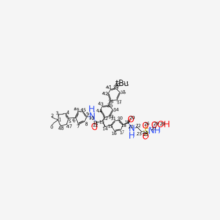 CC1(C)CC=C(c2ccc(NC(=O)[C@H](Cc3ccc(C(=O)NCCS(=O)(=O)NOO)cc3)c3ccc(-c4ccc(C(C)(C)C)cc4)cc3)cc2)CC1